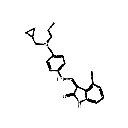 CCCN(CC1CC1)c1ccc(NC=C2C(=O)Nc3cccc(C)c32)cc1